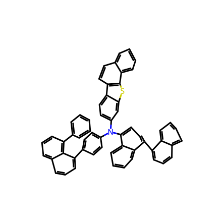 c1ccc(-c2cccc3cccc(-c4ccc(N(c5ccc6c(c5)sc5c7ccccc7ccc65)c5ccc(-c6cccc7ccccc67)c6ccccc56)cc4)c23)cc1